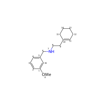 COc1cccc(CNCCC2=CCCCC2)c1